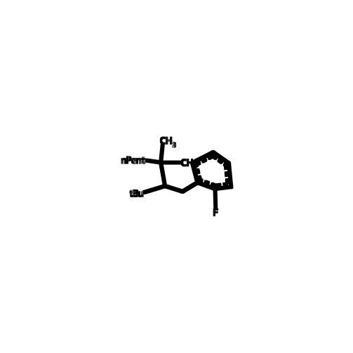 CCCCCC(C)(C)[C](Cc1ccccc1F)C(C)(C)C